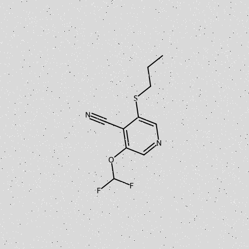 CCCSc1cncc(OC(F)F)c1C#N